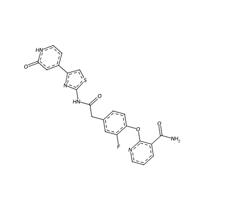 NC(=O)c1cccnc1Oc1ccc(CC(=O)Nc2nc(-c3cc[nH]c(=O)c3)cs2)cc1F